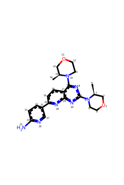 C[C@H]1COCCN1c1nc(N2CCOC[C@@H]2C)c2ccc(-c3ccc(N)nc3)nc2n1